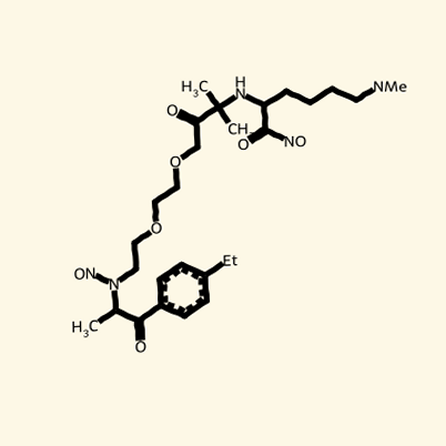 CCc1ccc(C(=O)C(C)N(CCOCCOCC(=O)C(C)(C)NC(CCCCNC)C(=O)N=O)N=O)cc1